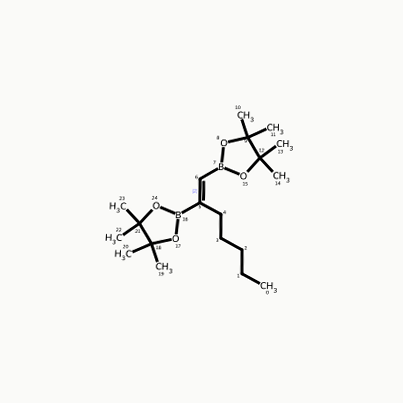 CCCCC/C(=C\B1OC(C)(C)C(C)(C)O1)B1OC(C)(C)C(C)(C)O1